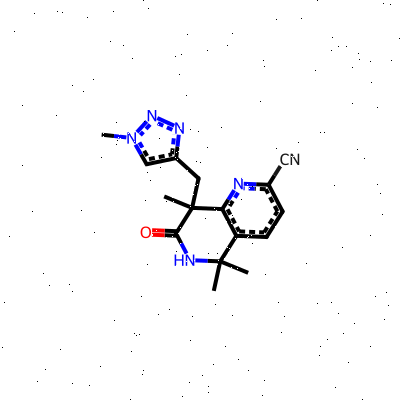 Cn1cc(CC2(C)C(=O)NC(C)(C)c3ccc(C#N)nc32)nn1